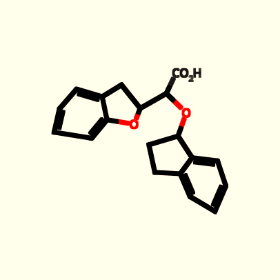 O=C(O)C(OC1CCc2ccccc21)C1Cc2ccccc2O1